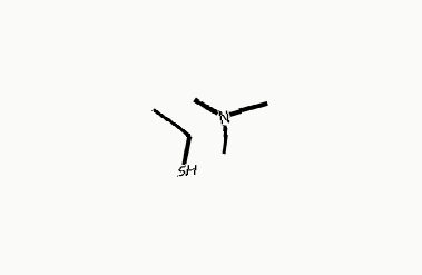 CCS.CN(C)C